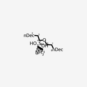 C=C.CCCCCCCCCCCCOCCCCCCCCCCCC.N.N.O=S(=O)(O)O